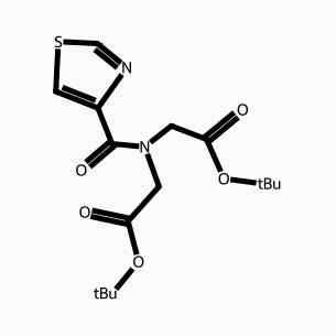 CC(C)(C)OC(=O)CN(CC(=O)OC(C)(C)C)C(=O)c1cs[c]n1